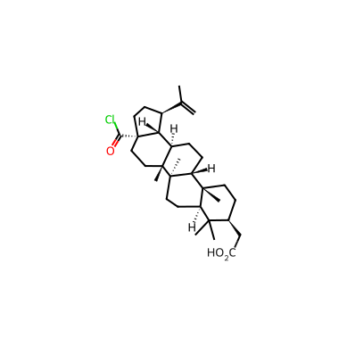 C=C(C)[C@@H]1CC[C@]2(C(=O)Cl)CC[C@]3(C)[C@H](CC[C@@H]4[C@]5(C)CC[C@@H](CC(=O)O)C(C)(C)[C@H]5CC[C@]43C)[C@@H]12